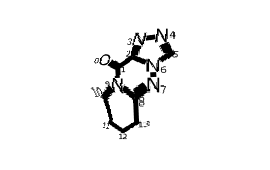 O=c1c2nncn2nc2n1CCCC2